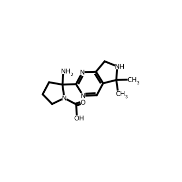 CC1(C)NCc2nc(C3(N)CCCN3C(=O)O)ncc21